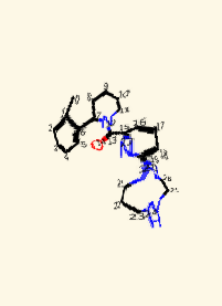 Cc1ccccc1C1CCCCN1C(=O)c1cccc(N2CCCNCC2)n1